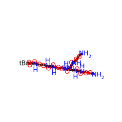 CC(C)(C)OC(=O)CCC(=O)NCCOCCOCCNC(=O)CCC(=O)NCCOCCOCCNC(=O)C(CCCCNC(=O)CCC(=O)NCCOCCOCCN)NC(=O)CCC(=O)NCCOCCOCCN